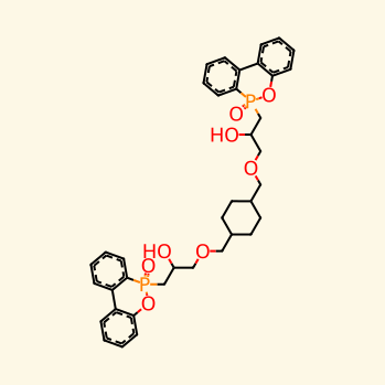 O=P1(CC(O)COCC2CCC(COCC(O)CP3(=O)Oc4ccccc4-c4ccccc43)CC2)Oc2ccccc2-c2ccccc21